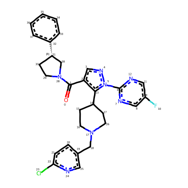 O=C(c1cnn(-c2ncc(F)cn2)c1C1CCN(Cc2ccc(Cl)nc2)CC1)N1CC[C@H](c2ccccc2)C1